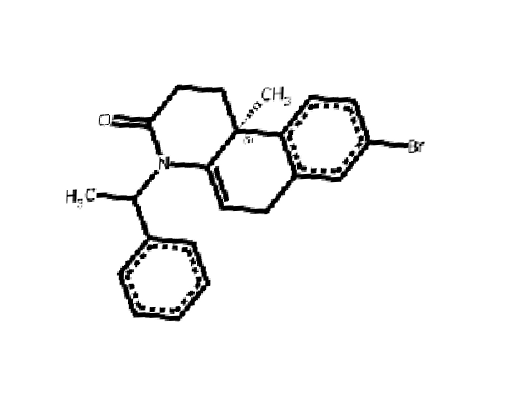 CC(c1ccccc1)N1C(=O)CC[C@]2(C)C1=CCc1cc(Br)ccc12